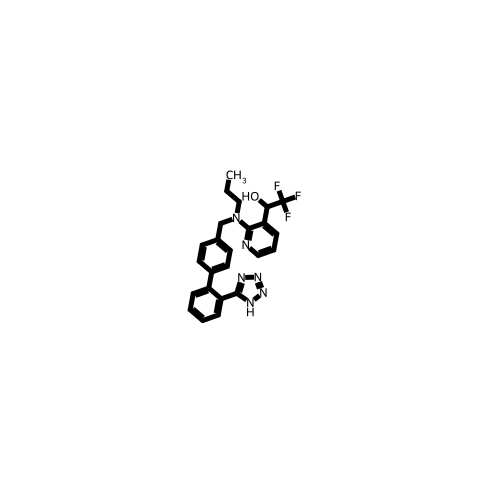 CCCN(Cc1ccc(-c2ccccc2-c2nnn[nH]2)cc1)c1ncccc1C(O)C(F)(F)F